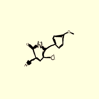 COc1ccc(-c2[nH]c(=O)c(C#N)cc2Cl)cc1